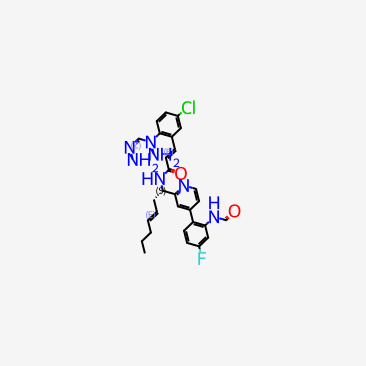 CCC/C=C/C[C@H](NC(=O)/C=C/c1cc(Cl)ccc1N(N)/C=N\N)c1cc(-c2ccc(F)cc2NC=O)ccn1